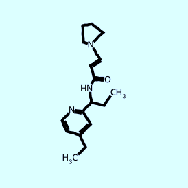 CCc1ccnc(C(CC)NC(=O)C=CN2CCCC2)c1